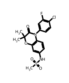 CC1(C)Oc2cc(NS(C)(=O)=O)ccc2N(c2ccc(Cl)c(F)c2)C1=O